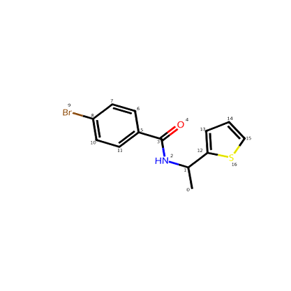 CC(NC(=O)c1ccc(Br)cc1)c1cccs1